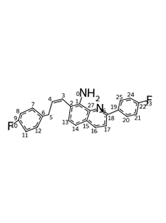 Nc1c(/C=C\Cc2ccc(F)cc2)ccc2ccc(-c3ccc(F)cc3)nc12